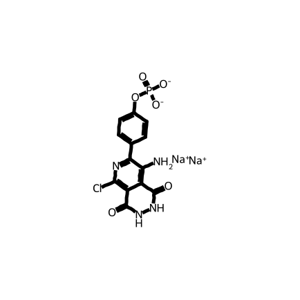 Nc1c(-c2ccc(OP(=O)([O-])[O-])cc2)nc(Cl)c2c(=O)[nH][nH]c(=O)c12.[Na+].[Na+]